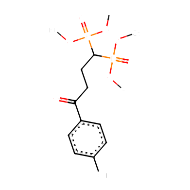 CCOP(=O)(OCC)C(CCC(=O)c1ccc(C)cc1)P(=O)(OCC)OCC